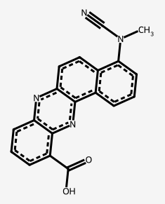 CN(C#N)c1cccc2c1ccc1nc3cccc(C(=O)O)c3nc12